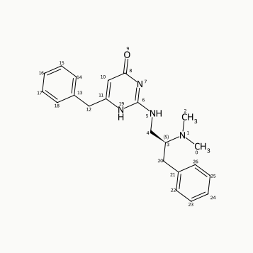 CN(C)[C@H](CNc1nc(=O)cc(Cc2ccccc2)[nH]1)Cc1ccccc1